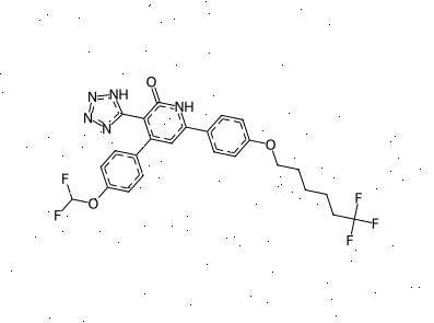 O=c1[nH]c(-c2ccc(OCCCCCC(F)(F)F)cc2)cc(-c2ccc(OC(F)F)cc2)c1-c1nnn[nH]1